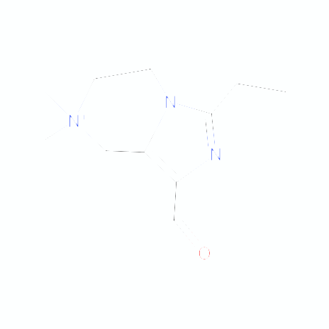 CCc1nc(C=O)c2n1CC[N+](C)(C)C2